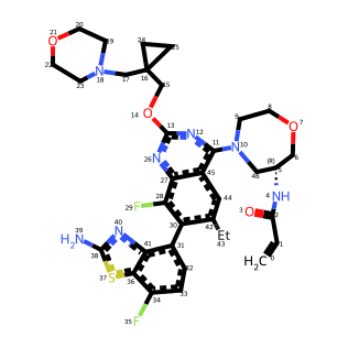 C=CC(=O)N[C@H]1COCCN(c2nc(OCC3(CN4CCOCC4)CC3)nc3c(F)c(-c4ccc(F)c5sc(N)nc45)c(CC)cc23)C1